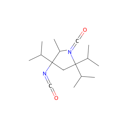 CC(C)C(CC(N=C=O)(C(C)C)C(C)C)(N=C=O)C(C)C